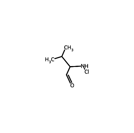 CC(C)C(C=O)NCl